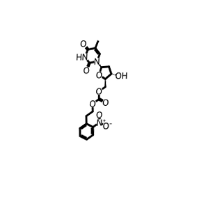 Cc1cn([C@H]2C[C@H](O)[C@@H](COC(=O)OCCc3ccccc3[N+](=O)[O-])O2)c(=O)[nH]c1=O